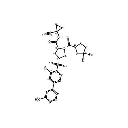 Cc1cc(-c2ccc(S(=O)(=O)[C@@H]3C[C@@H](C(=O)NC4(C#N)CC4)[C@H](C(=O)N4CCC(F)(F)C4)C3)c(Cl)c2)ccn1